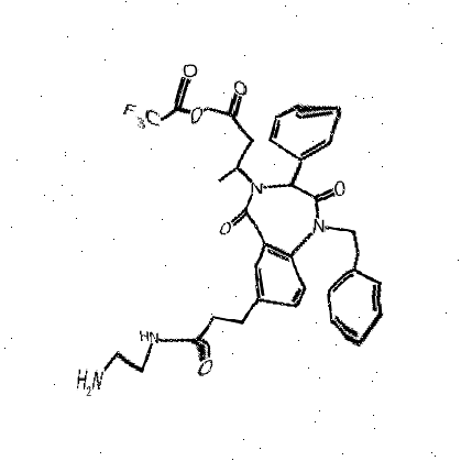 CC(CC(=O)OC(=O)C(F)(F)F)N1C(=O)c2cc(CCC(=O)NCCN)ccc2N(Cc2ccccc2)C(=O)C1c1ccccc1